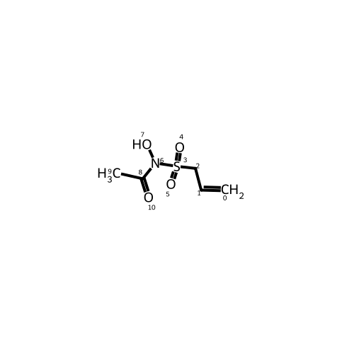 C=CCS(=O)(=O)N(O)C(C)=O